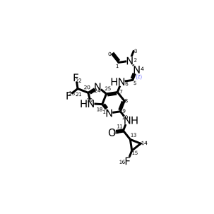 C=CN(C)/N=C\Nc1cc(NC(=O)C2CC2F)nc2[nH]c(C(F)F)nc12